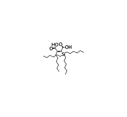 CCCCCCC(C(=O)O)=C(C(=O)O)[Si](CCCCCC)(CCCCCC)CCCCCC